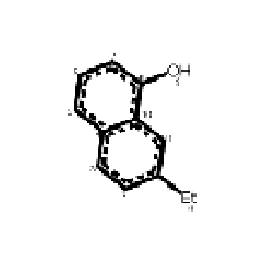 CCc1ccc2cccc(O)c2c1